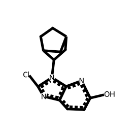 Oc1ccc2nc(Cl)n(C3CC4CCC3C4)c2n1